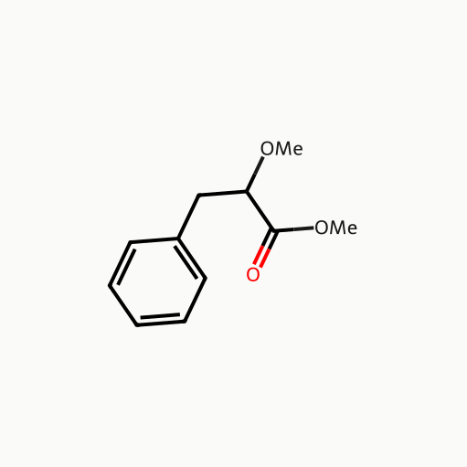 COC(=O)C(Cc1ccccc1)OC